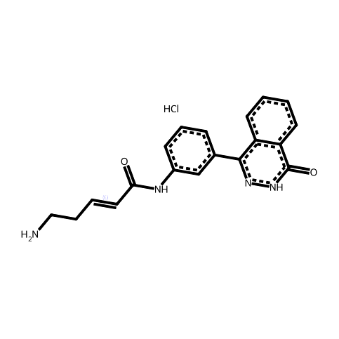 Cl.NCC/C=C/C(=O)Nc1cccc(-c2n[nH]c(=O)c3ccccc23)c1